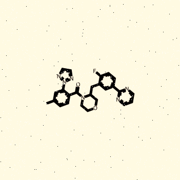 Cc1ccc(C(=O)N2CCOCC2Cc2cc(-c3ncccn3)ccc2F)c(-n2nccn2)c1